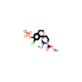 C[C@H]1C[C@@]2(CCN1C(=O)OC(C)(C)C)OCCc1cc(OS(=O)(=O)C(F)(F)F)c(Cl)cc12